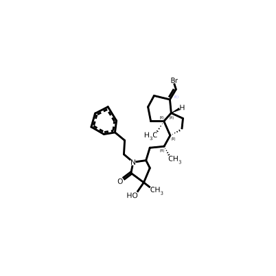 C[C@H](CC1CC(C)(O)C(=O)N1CCc1ccccc1)[C@H]1CC[C@H]2/C(=C/Br)CCC[C@]12C